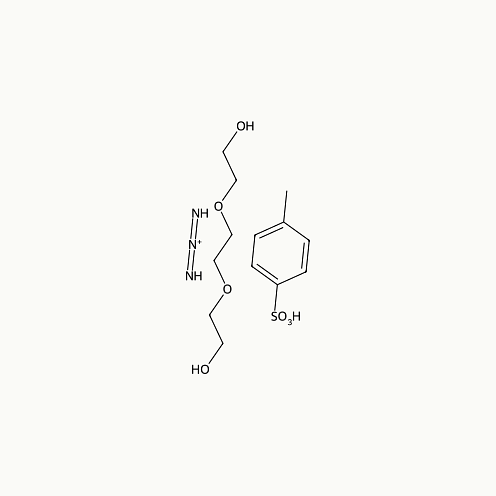 Cc1ccc(S(=O)(=O)O)cc1.N=[N+]=N.OCCOCCOCCO